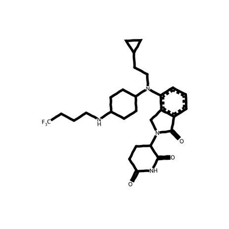 O=C1CCC(N2Cc3c(cccc3N(CCC3CC3)C3CCC(NCCCC(F)(F)F)CC3)C2=O)C(=O)N1